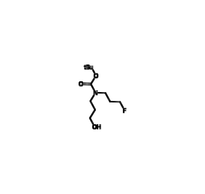 CC(C)(C)OC(=O)N(CCCO)CCCF